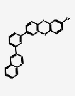 Brc1ccc2c(c1)Sc1ccc(-c3cccc(-c4ccc5ccccc5c4)c3)cc1S2